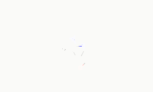 CCSC(=O)c1cc(C#N)c(N2CCC(C(=O)O)CC2)nc1C